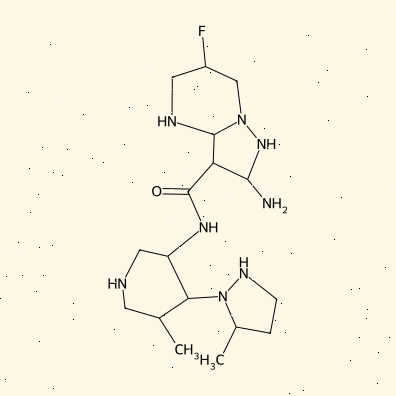 CC1CNCC(NC(=O)C2C(N)NN3CC(F)CNC23)C1N1NCCC1C